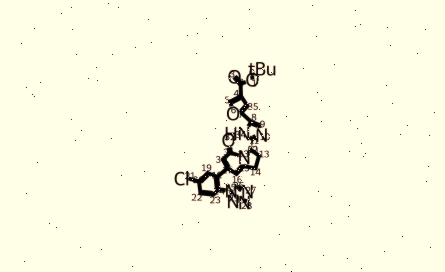 CC(C)(C)OC(=O)c1coc(-c2cnc([C@@H]3CCc4cc(-c5cc(Cl)ccc5-n5cnnn5)cc(=O)n43)[nH]2)c1